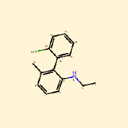 CCNc1cccc(C)c1-c1ccccc1F